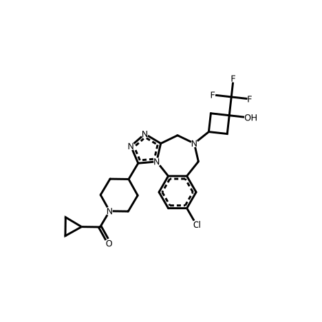 O=C(C1CC1)N1CCC(c2nnc3n2-c2ccc(Cl)cc2CN(C2CC(O)(C(F)(F)F)C2)C3)CC1